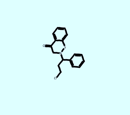 O=C1CN(C(CCCl)c2ccccc2)Sc2ccccc21